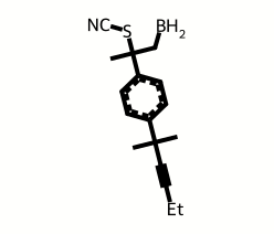 BCC(C)(SC#N)c1ccc(C(C)(C)C#CCC)cc1